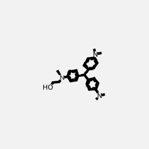 CN(C)c1ccc(C(c2ccc(N(C)C)cc2)c2ccc(N(C)CCO)cc2)cc1